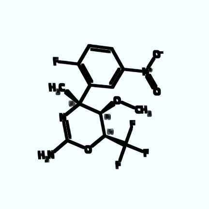 CO[C@H]1[C@@H](C(F)(F)F)OC(N)=N[C@]1(C)c1cc([N+](=O)[O-])ccc1F